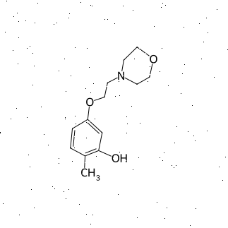 Cc1ccc(OCCN2CCOCC2)cc1O